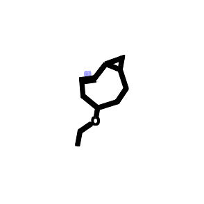 CCOC1C/C=C/C2CC2CC1